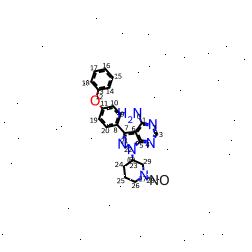 Nc1ncnc2c1c(-c1ccc(Oc3ccccc3)cc1)nn2[C@@H]1CCCN(N=O)C1